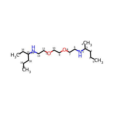 CCCC(C)NCCOCCOCCNC(CC)CCC